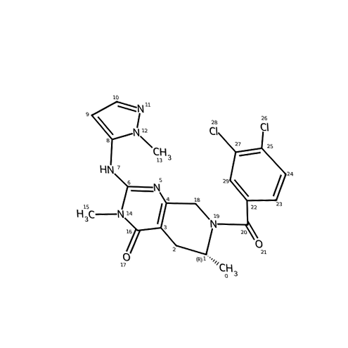 C[C@@H]1Cc2c(nc(Nc3ccnn3C)n(C)c2=O)CN1C(=O)c1ccc(Cl)c(Cl)c1